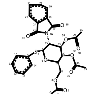 CC(=O)OC[C@H]1O[C@@H](Sc2ccccc2)[C@H](N2C(=O)c3ccccc3C2=O)[C@@H](OC(C)=O)[C@H]1OC(C)=O